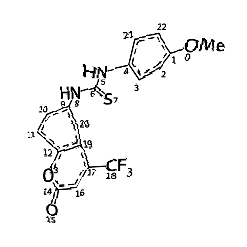 COc1ccc(NC(=S)Nc2ccc3oc(=O)cc(C(F)(F)F)c3c2)cc1